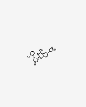 Oc1nc([C@H]2CNC[C@@H]2c2ccccc2Cl)nc2ccc(-c3cn[nH]c3)cc12